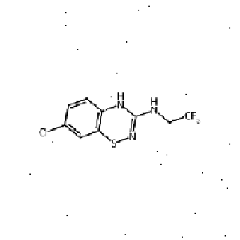 FC(F)(F)CNC1=NSc2cc(Cl)ccc2N1